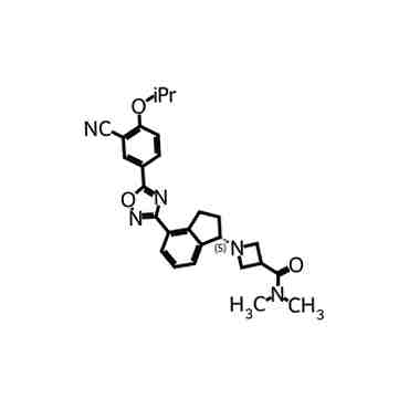 CC(C)Oc1ccc(-c2nc(-c3cccc4c3CC[C@@H]4N3CC(C(=O)N(C)C)C3)no2)cc1C#N